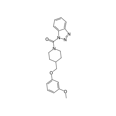 COc1cccc(OCC2CCN(C(=O)n3nnc4ccccc43)CC2)c1